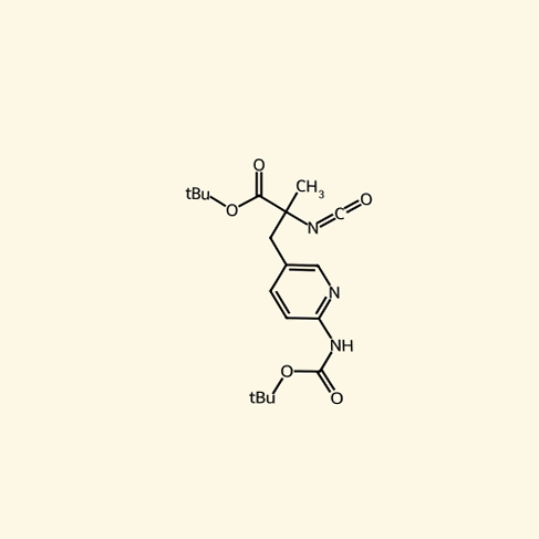 CC(C)(C)OC(=O)Nc1ccc(CC(C)(N=C=O)C(=O)OC(C)(C)C)cn1